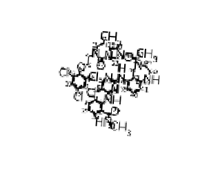 CCCN(CCOc1c(Cl)cc(Cl)cc1Cl)C(=O)n1ccnc1.CNC(=O)c1ccccc1Nc1nc(Nc2cccc3c2CN(C(C)=O)CCN3)ncc1Cl